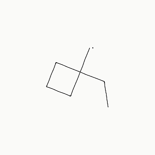 [CH2]C1(CC)CCC1